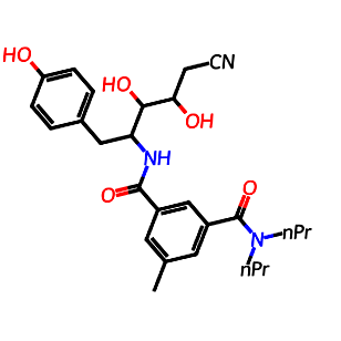 CCCN(CCC)C(=O)c1cc(C)cc(C(=O)NC(Cc2ccc(O)cc2)C(O)C(O)CC#N)c1